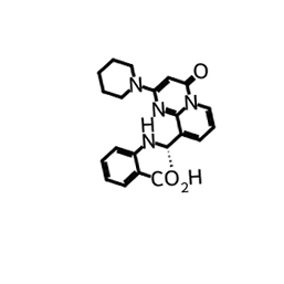 C[C@H](Nc1ccccc1C(=O)O)c1cccn2c(=O)cc(N3CCCCC3)nc12